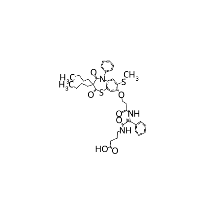 CCCCC1(CCCC)C(=O)Sc2cc(OCCC(=O)N[C@@H](C(=O)NCCCC(=O)O)c3ccccc3)c(SC)cc2N(c2ccccc2)C1=O